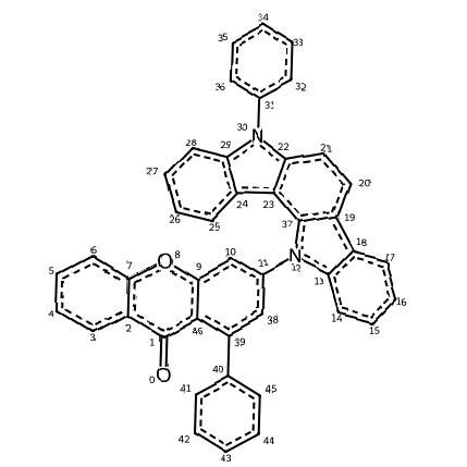 O=c1c2ccccc2oc2cc(-n3c4ccccc4c4ccc5c(c6ccccc6n5-c5ccccc5)c43)cc(-c3ccccc3)c12